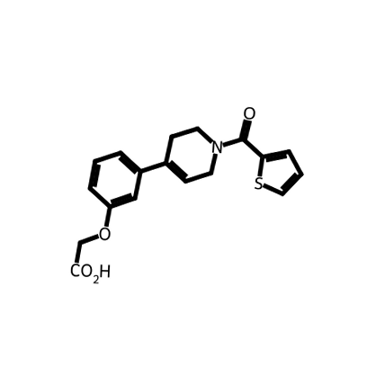 O=C(O)COc1cccc(C2=CCN(C(=O)c3cccs3)CC2)c1